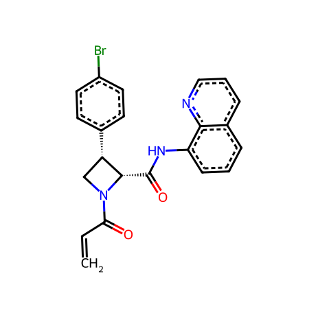 C=CC(=O)N1C[C@H](c2ccc(Br)cc2)[C@@H]1C(=O)Nc1cccc2cccnc12